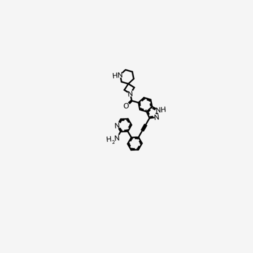 Nc1ncccc1-c1ccccc1C#Cc1n[nH]c2ccc(C(=O)N3CC4(CCCNC4)C3)cc12